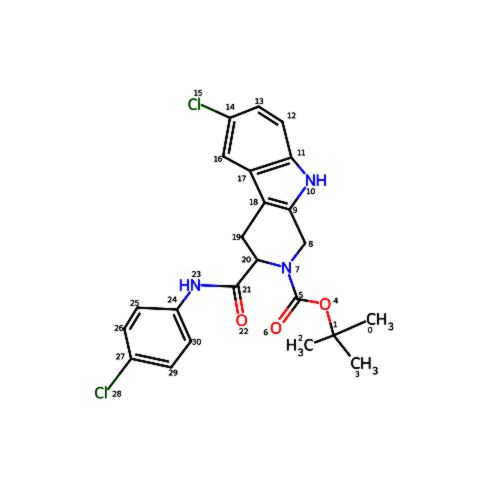 CC(C)(C)OC(=O)N1Cc2[nH]c3ccc(Cl)cc3c2CC1C(=O)Nc1ccc(Cl)cc1